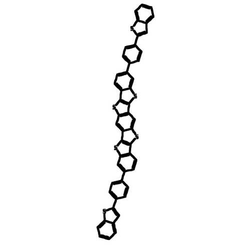 c1ccc2sc(-c3ccc(-c4ccc5c(c4)sc4c6cc7sc8c9ccc(-c%10ccc(-c%11cc%12ccccc%12s%11)cc%10)cc9sc8c7cc6sc54)cc3)cc2c1